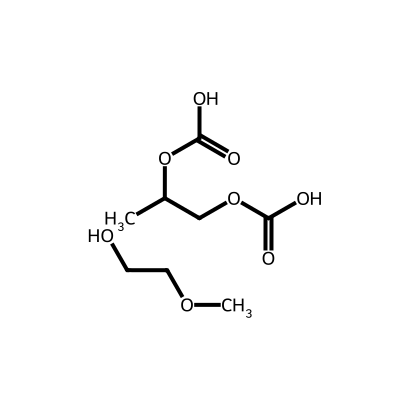 CC(COC(=O)O)OC(=O)O.COCCO